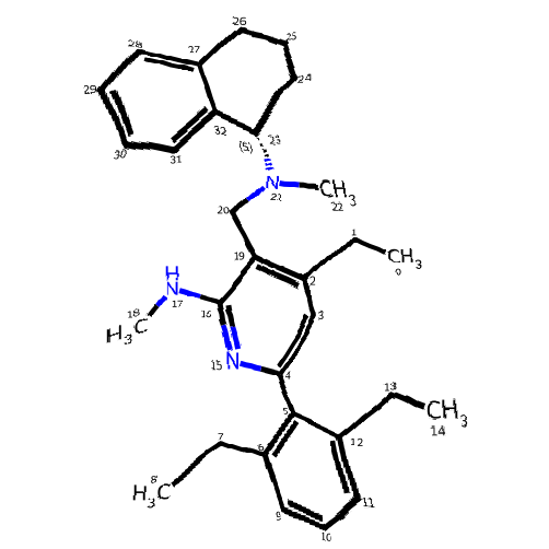 CCc1cc(-c2c(CC)cccc2CC)nc(NC)c1CN(C)[C@H]1CCCc2ccccc21